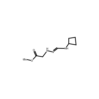 CC(C)(C)OC(=O)CN/N=C/NC1CCC1